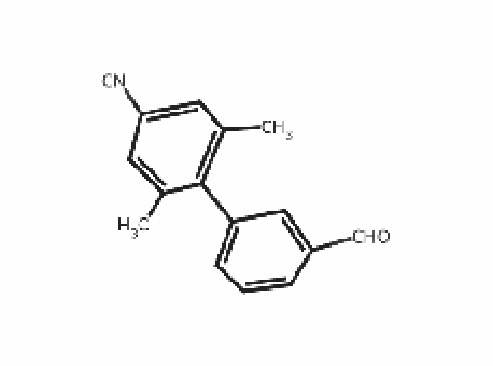 [C-]#[N+]c1cc(C)c(-c2cccc(C=O)c2)c(C)c1